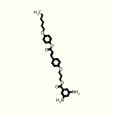 CCCCCCOc1ccc(OC(=O)/C=C/c2ccc(OCCCOC(=O)c3cc(N)cc(N)c3)cc2)cc1